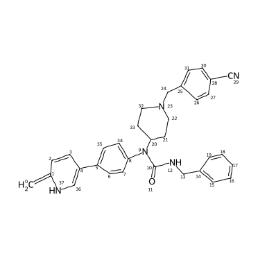 C=C1C=CC(c2ccc(N(C(=O)NCc3ccccc3)C3CCN(Cc4ccc(C#N)cc4)CC3)cc2)=CN1